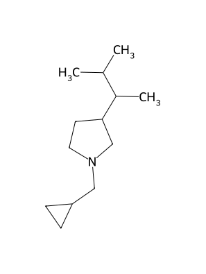 CC(C)C(C)C1CCN(CC2CC2)C1